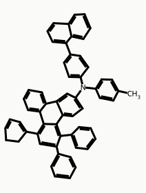 Cc1ccc(N(c2ccc(-c3cccc4ccccc34)cc2)c2ccc3c(c2)c2ccccc2c2c(C4=CC=CCC4)cc(-c4ccccc4)c(-c4ccccc4)c32)cc1